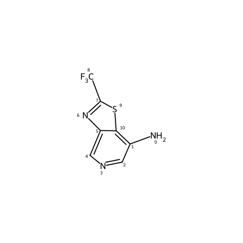 Nc1cncc2nc(C(F)(F)F)sc12